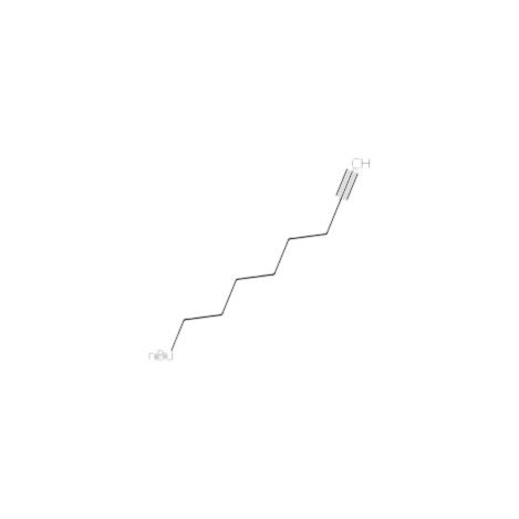 C#CCCCCCCCCC[CH2]